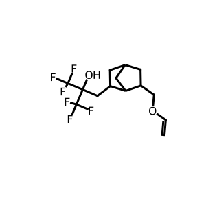 C=COCC1CC2CC(CC(O)(C(F)(F)F)C(F)(F)F)C1C2